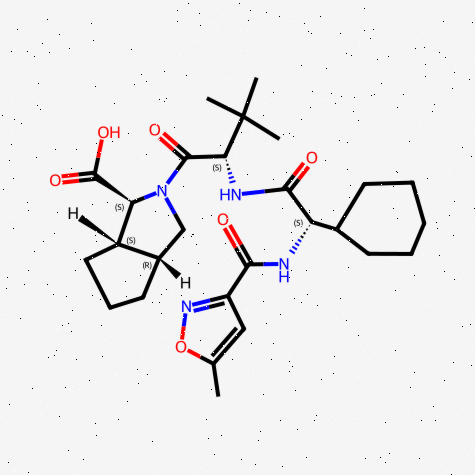 Cc1cc(C(=O)N[C@H](C(=O)N[C@H](C(=O)N2C[C@@H]3CCC[C@@H]3[C@H]2C(=O)O)C(C)(C)C)C2CCCCC2)no1